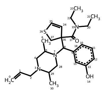 C=CCN1CC(C)N(C(c2cccc(O)c2)C2(C(=O)N(CC)CC)C=CSC2)CC1C